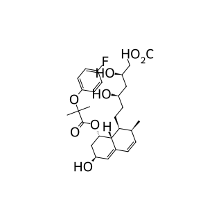 C[C@H]1C=CC2=C[C@@H](O)C[C@H](OC(=O)C(C)(C)Oc3ccc(F)cc3)[C@@H]2[C@H]1CC[C@@H](O)C[C@@H](O)CC(=O)O